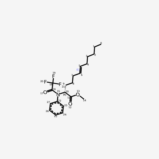 CCCCC/C=C/CCC[C@H](C(=O)OC)N(C(=O)C(F)(F)F)c1ccccc1